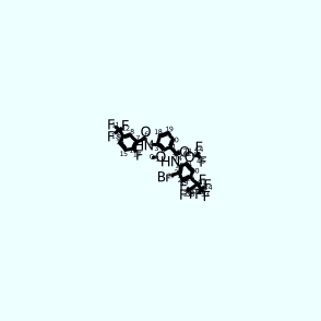 COc1c(NC(=O)c2cc(C(F)(F)F)ccc2F)cccc1C(=O)Nc1c(Br)cc(C(F)(C(F)(F)F)C(F)(F)F)cc1OC(F)F